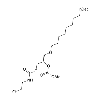 CCCCCCCCCCCCCCCCCCOC[C@H](COC(=O)NCCCl)OC(=O)OC